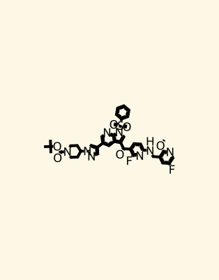 COc1ncc(F)cc1CNc1ccc(C(=O)c2cn(S(=O)(=O)c3ccccc3)c3ncc(-c4cnn(C5CCN(C(=O)OC(C)(C)C)CC5)c4)cc23)c(F)n1